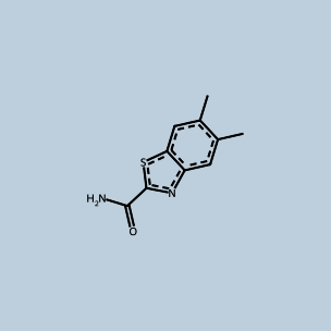 Cc1cc2nc(C(N)=O)sc2cc1C